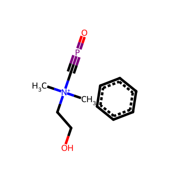 C[N+](C)(C#P=O)CCO.c1ccccc1